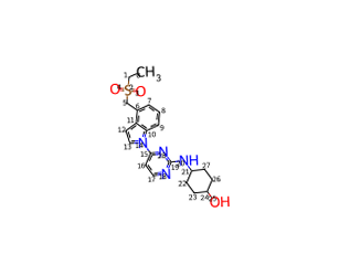 CCS(=O)(=O)Cc1cccc2c1ccn2-c1ccnc(NC2CCC(O)CC2)n1